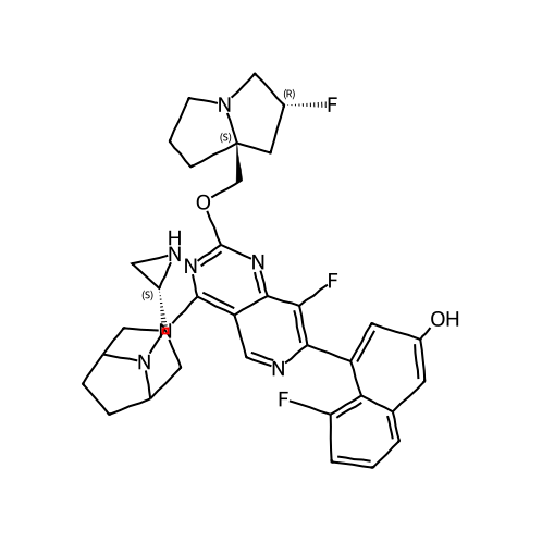 Oc1cc(-c2ncc3c(N4CC5CCC(C4)N5C[C@@H]4CN4)nc(OC[C@@]45CCCN4C[C@H](F)C5)nc3c2F)c2c(F)cccc2c1